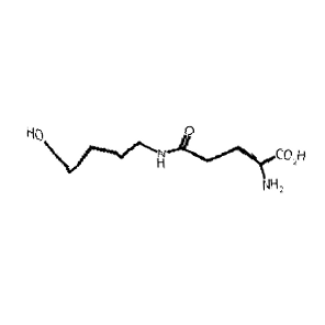 NC(CCC(=O)NCCCCO)C(=O)O